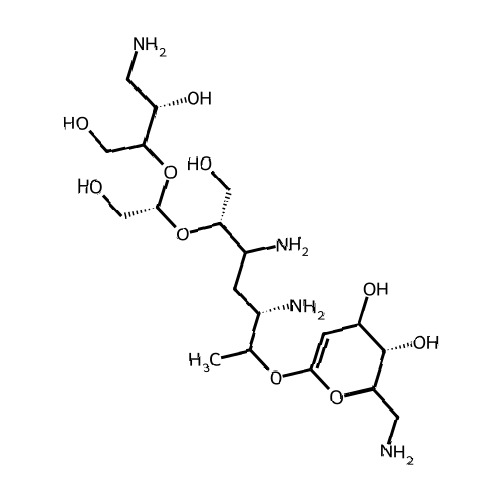 CC(OC1=CC(O)[C@H](O)C(CN)O1)[C@@H](N)CC(N)[C@@H](CO)O[C@H](CO)OC(CO)[C@@H](O)CN